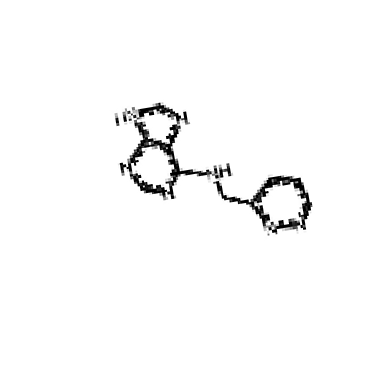 c1cnnc(CNc2ncnc3[nH]cnc23)c1